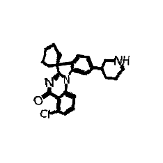 O=c1nc2n(c3cccc(Cl)c13)-c1cc(C3CCCNC3)ccc1C21CCCCC1